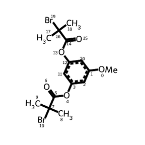 COc1cc(OC(=O)C(C)(C)Br)cc(OC(=O)C(C)(C)Br)c1